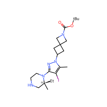 CC[C@@]1(C)CNCCN1c1nn(C2CC3(C2)CN(C(=O)OC(C)(C)C)C3)c(C)c1I